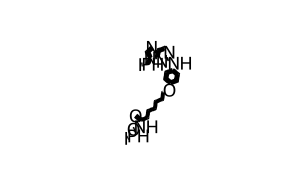 O=C(CCCCCCOc1ccc(Nc2ncc3ncn(PI)c3n2)cc1)NOPI